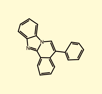 c1ccc(-c2cn3c4ccccc4nc3c3ccccc23)cc1